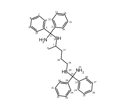 CC(BC(N)(c1ccccc1)c1ccccc1)CCCBC(N)(c1ccccc1)c1ccccc1